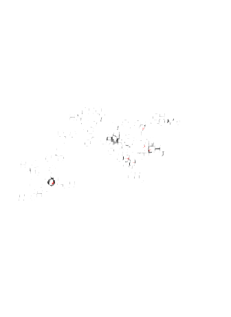 CO[C@@]1(C)CC[C@H]2[C@H](C)CC[C@@]3(C)[C@@H](C)[C@H](OC(=O)CCC(=O)OCC(COC(=O)CCC(=O)O[C@@H]4O[C@@H]5O[C@@]6(C)CC[C@H]7[C@H](C)CC[C@@H]([C@H]4C)[C@@]57OO6)(COC(=O)CCC(=O)O[C@@H]4O[C@@H]5O[C@@]6(C)CC[C@H]7[C@H](C)CC[C@@H]([C@H]4C)[C@@]57OO6)NC=O)OC[C@@]23OO1